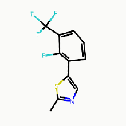 Cc1ncc(-c2cccc(C(F)(F)F)c2F)s1